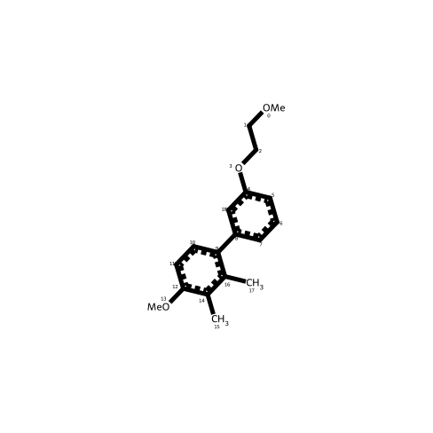 COCCOc1cccc(-c2ccc(OC)c(C)c2C)c1